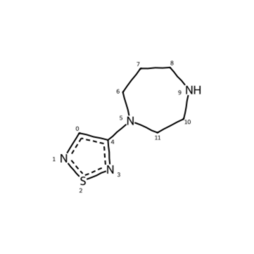 c1nsnc1N1CCCNCC1